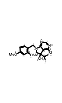 COc1ccc(CN2CC(C)(C(F)F)c3c(Cl)ncnc32)c(OC)c1